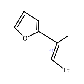 CC/C=C(\C)c1ccco1